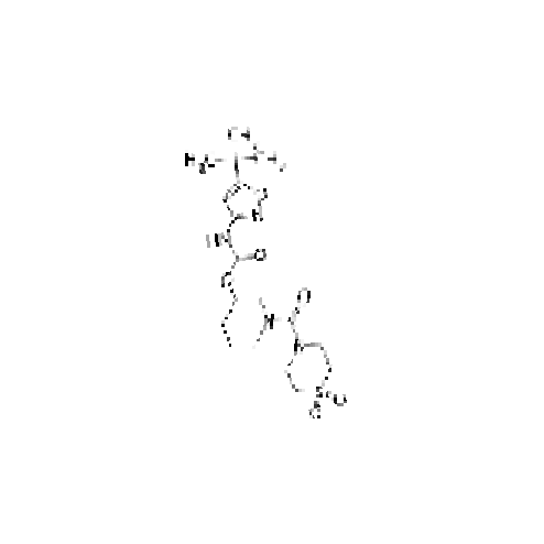 CC(C)(C)c1cc(NC(=O)OC2CCCN(C(=O)N3CCS(=O)(=O)CC3)C2)no1